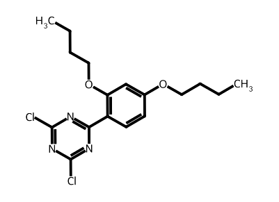 CCCCOc1ccc(-c2nc(Cl)nc(Cl)n2)c(OCCCC)c1